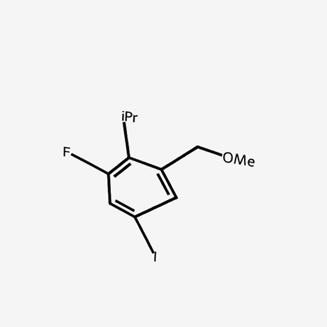 COCc1cc(I)cc(F)c1C(C)C